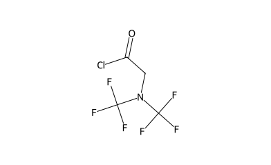 O=C(Cl)CN(C(F)(F)F)C(F)(F)F